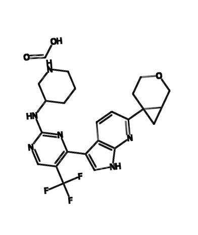 FC(F)(F)c1cnc(NC2CCCNC2)nc1-c1c[nH]c2nc(C34CCOCC3C4)ccc12.O=CO